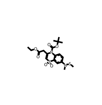 CCOC(=O)CC1=CS(=O)(=O)c2cc(N(C)SC)ccc2N1C(=O)OC(C)(C)C